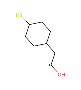 O[C]CC1CCC(S)CC1